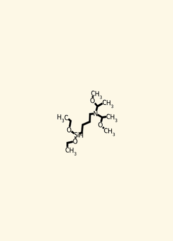 CCO[SiH](CCCCN(C(C)OC)C(C)OC)OCC